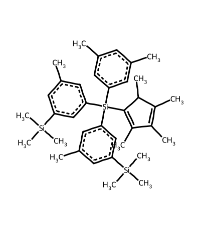 CC1=C(C)C(C)C([Si](c2cc(C)cc(C)c2)(c2cc(C)cc([Si](C)(C)C)c2)c2cc(C)cc([Si](C)(C)C)c2)=C1C